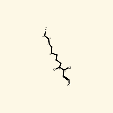 ClC=CC(Cl)C(Cl)CCCCCCCCCl